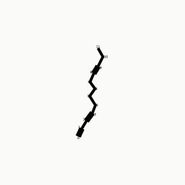 C#CC#CCCCCC#CCC